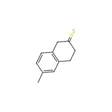 Cc1ccc2c(c1)CCC(=S)C2